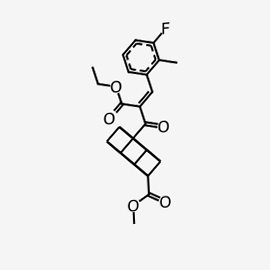 CCOC(=O)C(=Cc1cccc(F)c1C)C(=O)C12C3C4C1C1C2C3C41C(=O)OC